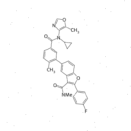 CNC(=O)c1c(-c2ccc(F)cc2)oc2ccc(-c3cc(C(=O)N(c4ncoc4C)C4CC4)ccc3C)cc12